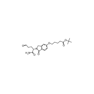 CC(C)(C)OC(=O)CCCCOc1ccc2c(c1)CN(C(CCC=O)C(N)=O)C2=O